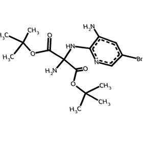 CC(C)(C)OC(=O)C(N)(Nc1ncc(Br)cc1N)C(=O)OC(C)(C)C